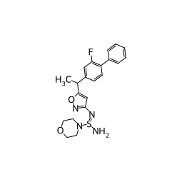 CC(c1ccc(-c2ccccc2)c(F)c1)c1cc(N=S(N)N2CCOCC2)no1